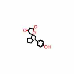 O=C1CC(=O)OC(CCc2ccc(O)cc2)(C2CCCC2)C1